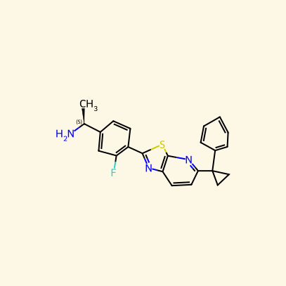 C[C@H](N)c1ccc(-c2nc3ccc(C4(c5ccccc5)CC4)nc3s2)c(F)c1